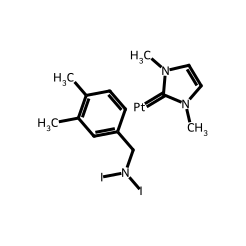 Cc1ccc(CN(I)I)cc1C.Cn1ccn(C)[c]1=[Pt]